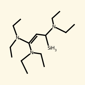 CCN(CC)C(=CC([SiH3])N(CC)CC)N(CC)CC